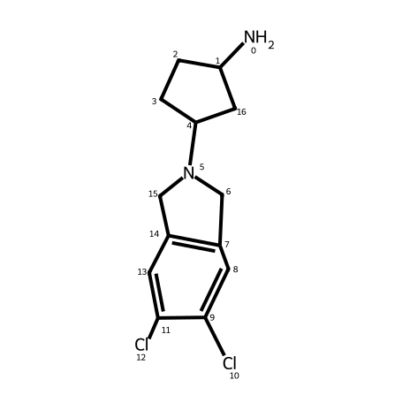 NC1CCC(N2Cc3cc(Cl)c(Cl)cc3C2)C1